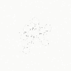 c1ccc(-c2nc(-n3c4ccccc4c4c5ccccc5c5c6cccc7c8ccccc8n(c76)c5c43)nc3ccccc23)cc1